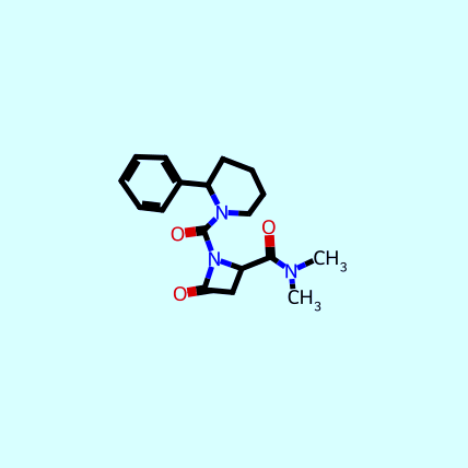 CN(C)C(=O)C1CC(=O)N1C(=O)N1CCCCC1c1ccccc1